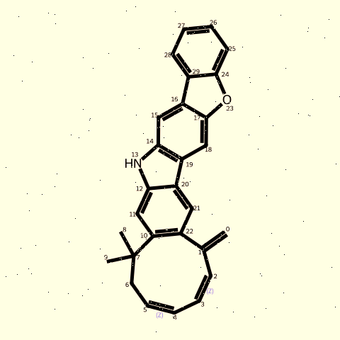 C=C1/C=C\C=C/CC(C)(C)c2cc3[nH]c4cc5c(cc4c3cc21)oc1ccccc15